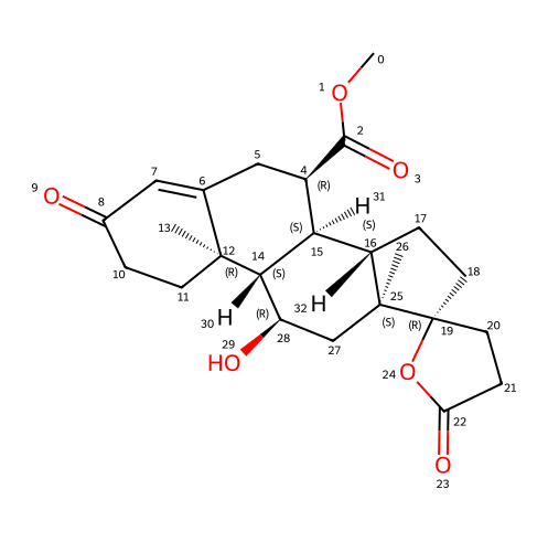 COC(=O)[C@@H]1CC2=CC(=O)CC[C@]2(C)[C@@H]2[C@@H]1[C@@H]1CC[C@@]3(CCC(=O)O3)[C@@]1(C)C[C@H]2O